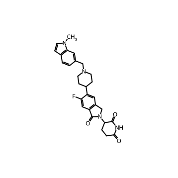 Cn1ccc2ccc(CN3CCC(c4cc5c(cc4F)C(=O)N(C4CCC(=O)NC4=O)C5)CC3)cc21